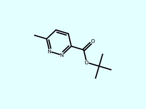 Cc1ccc(C(=O)OC(C)(C)C)nn1